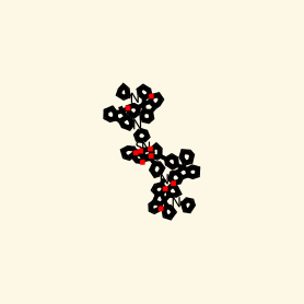 CC1(C)c2ccccc2-c2ccc(N(c3ccc(-n4c5ccccc5c5cc(-c6ccc(C7(c8ccccc8)c8ccccc8-c8ccc(N(c9ccc(-c%10ccc%11sc%12ccccc%12c%11c%10)cc9)c9ccc%10c(c9)C9(c%11ccccc%11-%10)c%10ccccc%10N(c%10ccccc%10)c%10ccccc%109)cc87)cc6)ccc54)cc3)c3ccc4c(c3)C3(c5ccccc5-4)c4ccccc4N(c4ccccc4)c4ccccc43)cc21